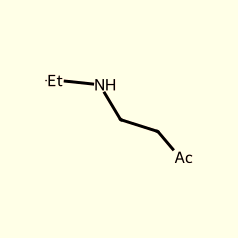 C[CH]NCCC(C)=O